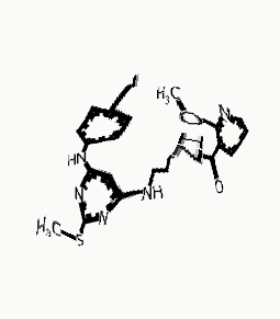 COc1ncccc1C(=O)NCCNc1cc(Nc2ccc(I)cc2)nc(SC)n1